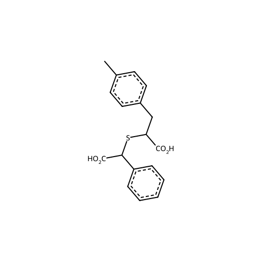 Cc1ccc(CC(SC(C(=O)O)c2ccccc2)C(=O)O)cc1